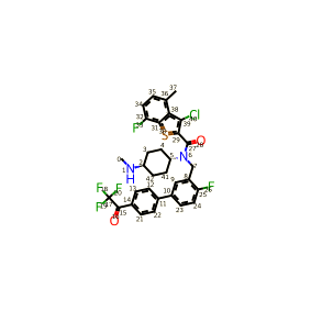 CN[C@H]1CC[C@H](N(Cc2cc(-c3ccc(C(=O)C(F)(F)F)cc3)ccc2F)C(=O)c2sc3c(F)ccc(C)c3c2Cl)CC1